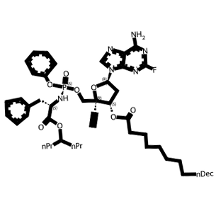 C#C[C@]1(CO[P@@](=O)(N[C@@H](Cc2ccccc2)C(=O)OC(CCC)CCC)Oc2ccccc2)O[C@@H](n2cnc3c(N)nc(F)nc32)C[C@@H]1OC(=O)CCCCCCCCCCCCCCCCC